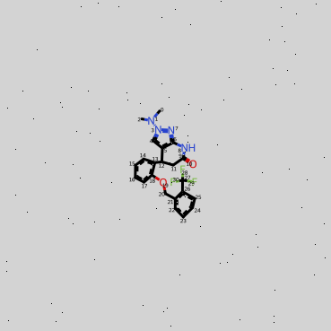 CN(C)n1cc2c(n1)NC(=O)CC2c1ccccc1OCc1ccccc1C(F)(F)F